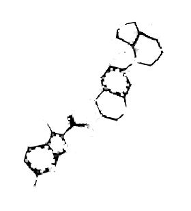 Cc1ccc2c(N)c(C(=O)N[C@H]3COc4cc(N5CCC[C@@H]6CNC[C@@H]65)ccc4C3)sc2n1